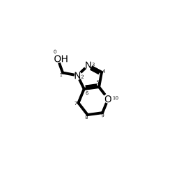 OCn1ncc2c1CCCO2